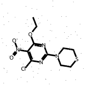 CCOc1nc(N2CCSCC2)nc(Cl)c1[N+](=O)[O-]